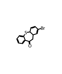 O=C1CC2C=C(Br)C=CC2Sc2ccccc21